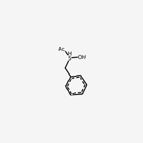 CC(=O)[SH](O)Cc1ccccc1